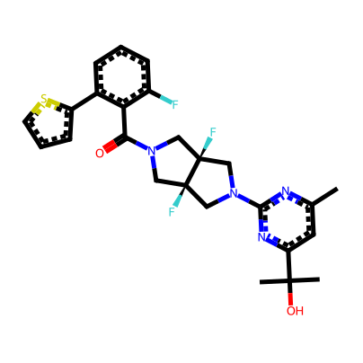 Cc1cc(C(C)(C)O)nc(N2C[C@]3(F)CN(C(=O)c4c(F)cccc4-c4cccs4)C[C@]3(F)C2)n1